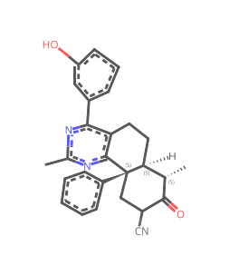 Cc1nc(-c2cccc(O)c2)c2c(n1)[C@@]1(c3ccccc3)CC(C#N)C(=O)[C@@H](C)[C@@H]1CC2